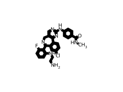 CNC(=O)c1ccc(Nc2ncc3c(n2)-c2ccc(Cl)cc2C(c2c(F)cccc2NCCN)=NC3)cc1